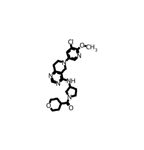 COc1ncc(N2CCc3ncnc(NC4CCN(C(=O)C5CCOCC5)C4)c3C2)cc1Cl